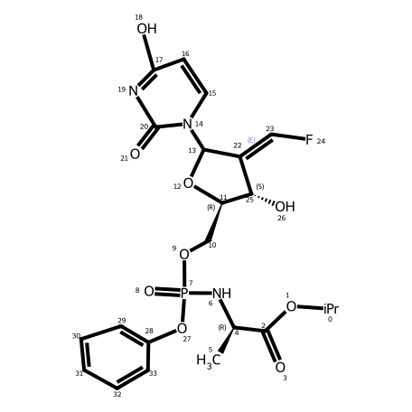 CC(C)OC(=O)[C@@H](C)NP(=O)(OC[C@H]1OC(n2ccc(O)nc2=O)/C(=C/F)[C@@H]1O)Oc1ccccc1